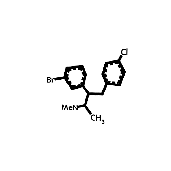 CNC(C)C(Cc1ccc(Cl)cc1)c1cccc(Br)c1